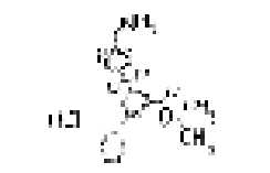 CC(C)OC(=O)c1cc(-c2ccccc2)cc(S(=O)(=O)c2cnc(CN)s2)c1.Cl